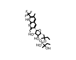 CCC(C)(C[C@H]1O[C@@H](c2cc3cc(C)c(C(F)(F)F)[nH]c-3nc2=S)[C@@H](O)C1O)OP(=O)(O)C(C)(O)CC